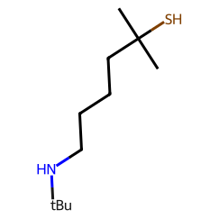 CC(C)(S)CCCCNC(C)(C)C